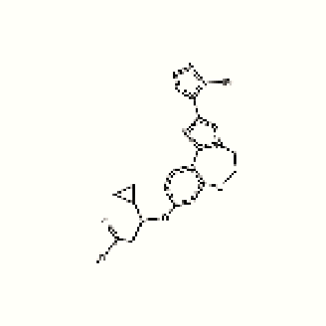 CC(C)n1ncnc1-c1cn2c(n1)-c1ccc(OC(CC(N)=O)C3CC3)cc1OCC2